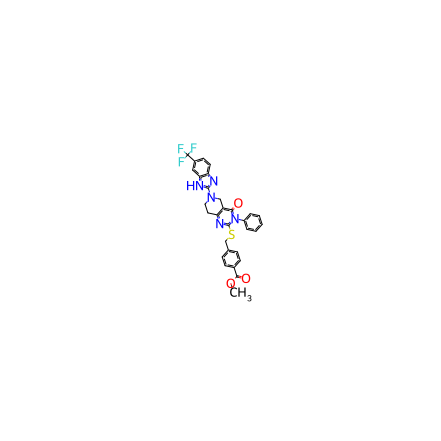 COC(=O)c1ccc(CSc2nc3c(c(=O)n2-c2ccccc2)CN(c2nc4ccc(C(F)(F)F)cc4[nH]2)CC3)cc1